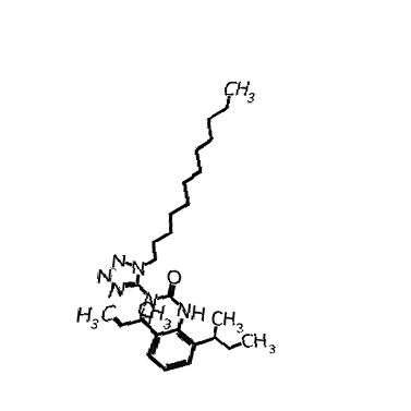 CCCCCCCCCCCCn1nnnc1NC(=O)Nc1c(C(C)CC)cccc1C(C)CC